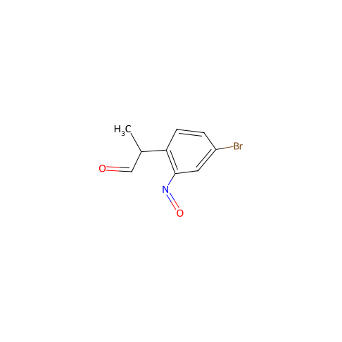 CC(C=O)c1ccc(Br)cc1N=O